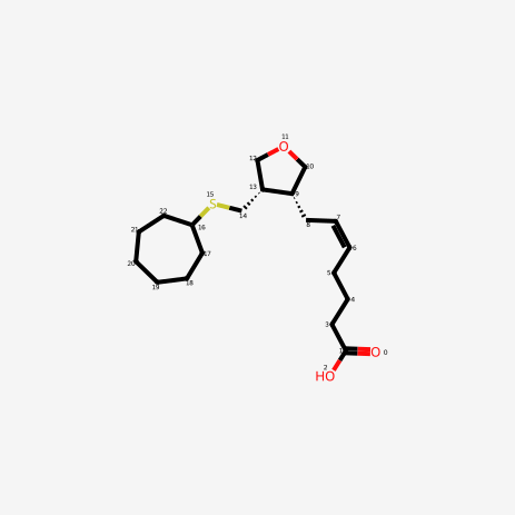 O=C(O)CCC/C=C\C[C@H]1COC[C@H]1CSC1CCCCCC1